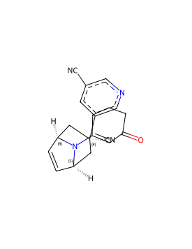 N#Cc1cncc([C@@]2(C#N)C[C@H]3C=C[C@@H](C2)N3C2=CC(=O)CCC2)c1